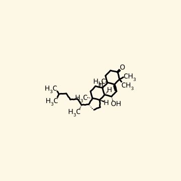 CC(C)CCC[C@@H](C)[C@H]1CC[C@H]2[C@@H]3[C@@H](O)C=C4C(C)(C)C(=O)CC[C@]4(C)[C@H]3CC[C@]12C